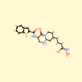 NCC(NC(=O)c1cc2ccccc2s1)C(=O)N1CCC(CCCC(=O)NO)CC1